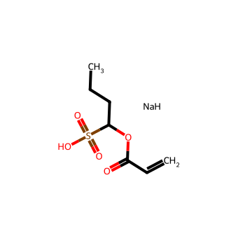 C=CC(=O)OC(CCC)S(=O)(=O)O.[NaH]